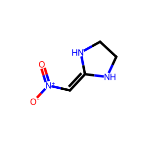 O=[N+]([O-])C=C1NCCN1